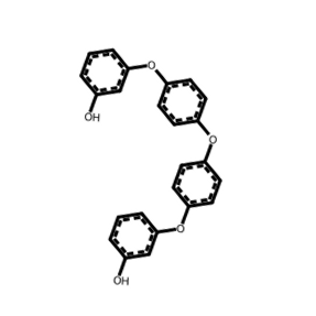 Oc1cccc(Oc2ccc(Oc3ccc(Oc4cccc(O)c4)cc3)cc2)c1